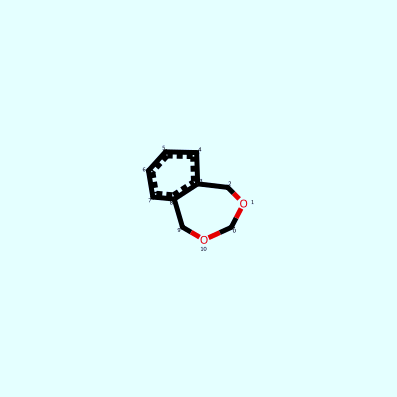 [CH]1OCc2ccccc2CO1